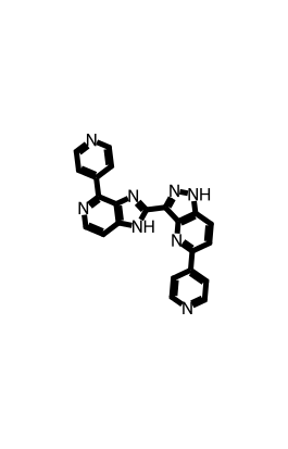 c1cc(-c2ccc3[nH]nc(-c4nc5c(-c6ccncc6)nccc5[nH]4)c3n2)ccn1